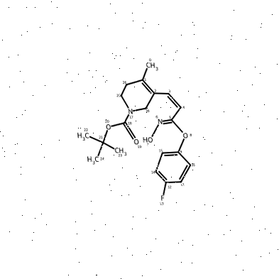 CC1=C(/C=C\C(=N\O)Oc2ccc(F)cc2)CN(C(=O)OC(C)(C)C)CC1